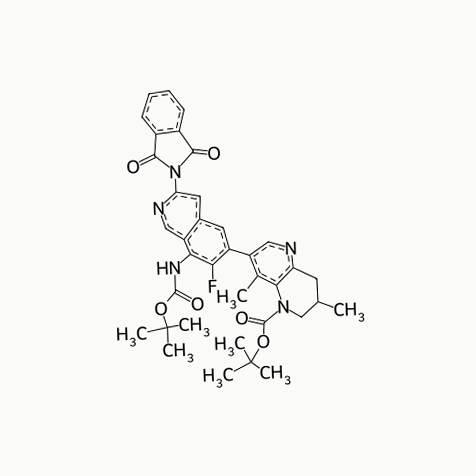 Cc1c(-c2cc3cc(N4C(=O)c5ccccc5C4=O)ncc3c(NC(=O)OC(C)(C)C)c2F)cnc2c1N(C(=O)OC(C)(C)C)CC(C)C2